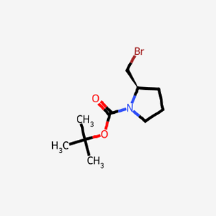 CC(C)(C)OC(=O)N1CCC[C@@H]1CBr